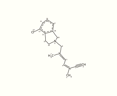 C#C/C(C)=C\C=C(/C)CN1CCc2c(Cl)cccc2C1